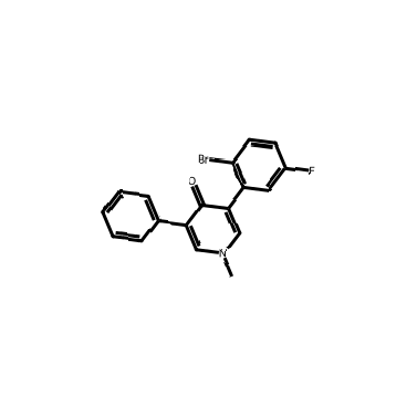 Cn1cc(-c2ccccc2)c(=O)c(-c2cc(F)ccc2Br)c1